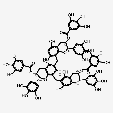 O=C(O[C@@H]1Cc2c(cc(O)c(Cc3c(O)c(Cc4c(O)cc(O)c5c4O[C@H](c4cc(O)c(O)c(O)c4)[C@H](OC(=O)c4cc(O)c(O)c(O)c4)C5)c(O)c4c3O[C@H](c3cc(O)c(O)c(O)c3)[C@H](OC(=O)c3cc(O)c(O)c(O)c3)C4)c2O)O[C@@H]1c1cc(O)c(O)c(O)c1)c1cc(O)c(O)c(O)c1